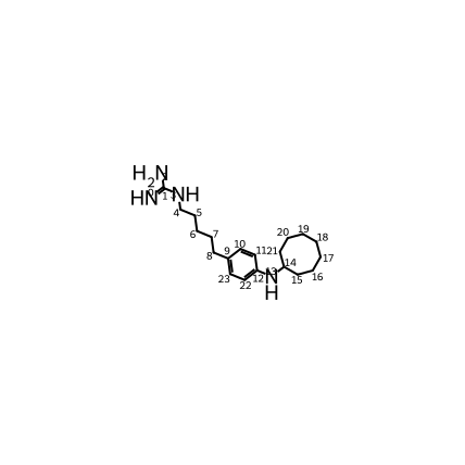 N=C(N)NCCCCCc1ccc(NC2CCCCCCC2)cc1